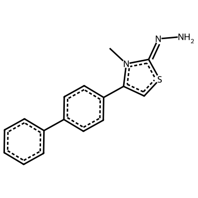 Cn1c(-c2ccc(-c3ccccc3)cc2)csc1=NN